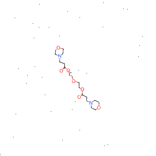 O=C(CCN1CCOCC1)OCCOCCOC(=O)CCN1CCOCC1